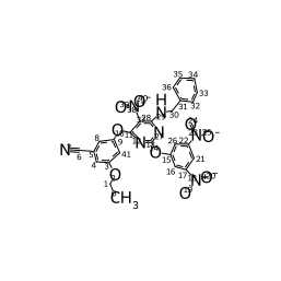 CCOc1cc(C#N)cc(Oc2nc(Oc3cc([N+](=O)[O-])cc([N+](=O)[O-])c3)nc(NCc3ccccc3)c2[N+](=O)[O-])c1